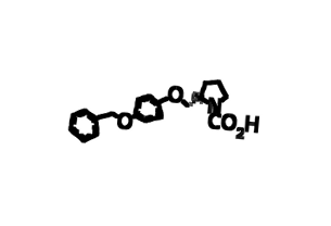 O=C(O)N1CCC[C@H]1COc1ccc(OCc2ccccc2)cc1